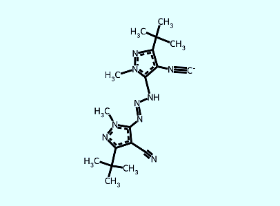 [C-]#[N+]c1c(C(C)(C)C)nn(C)c1NN=Nc1c(C#N)c(C(C)(C)C)nn1C